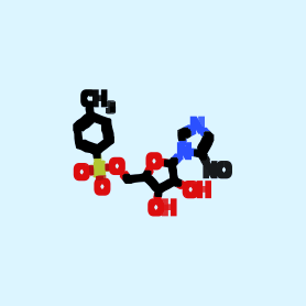 Cc1ccc(S(=O)(=O)OCC2OC(n3cncc3N=O)C(O)C2O)cc1